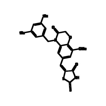 COc1cc(/C=C2/SC(=S)NC2=O)cc2c1OCC(=O)N2Cc1cc(C(C)(C)C)cc(C(C)(C)C)c1